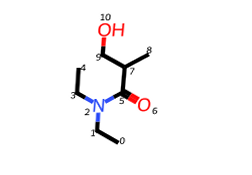 CCN(CC)C(=O)C(C)CO